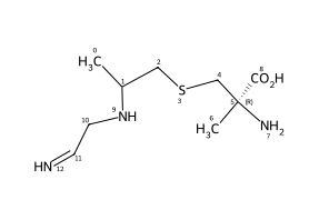 CC(CSC[C@](C)(N)C(=O)O)NCC=N